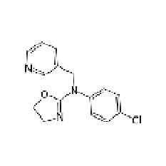 Clc1ccc(N(Cc2cccnc2)C2=NCCO2)cc1